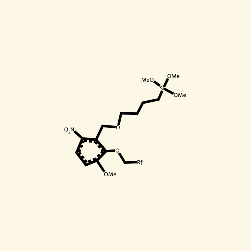 COc1ccc([N+](=O)[O-])c(COCCCC[Si](OC)(OC)OC)c1O[CH2][Rf]